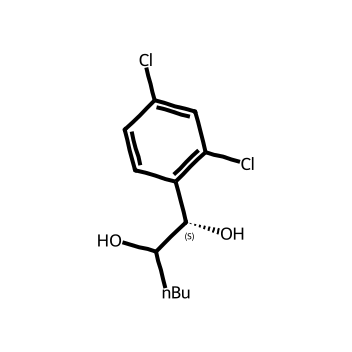 CCCCC(O)[C@@H](O)c1ccc(Cl)cc1Cl